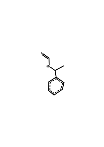 CC(NC=O)c1ccccc1